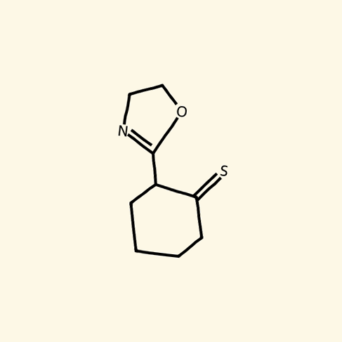 S=C1CCCCC1C1=NCCO1